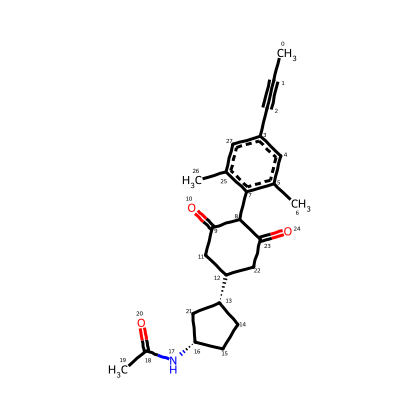 CC#Cc1cc(C)c(C2C(=O)CC([C@@H]3CC[C@H](NC(C)=O)C3)CC2=O)c(C)c1